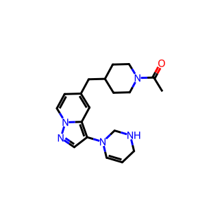 CC(=O)N1CCC(Cc2ccn3ncc(N4C=CCNC4)c3c2)CC1